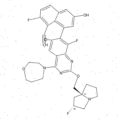 C#Cc1c(F)ccc2cc(O)cc(-c3c(Cl)cc4c(N5CCCOCC5)nc(OC[C@@]56CCCN5C[C@H](F)C6)nc4c3F)c12